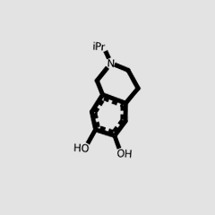 CC(C)N1CCc2cc(O)c(O)cc2C1